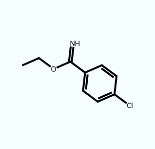 CCOC(=N)c1ccc(Cl)cc1